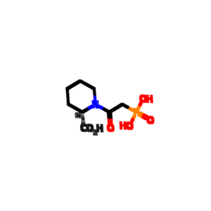 O=C(O)[C@@H]1CCCCN1C(=O)CP(=O)(O)O